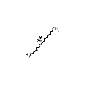 CCCCCCCCN(CCCCCCCC)[SH](=O)=O